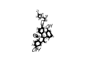 CC1=C(c2cccc(O)c2)C(c2ccc(OC[C@H](C)N3CC[C@@H](C)C3)cc2)[S+]([O-])c2ccc(O)cc21